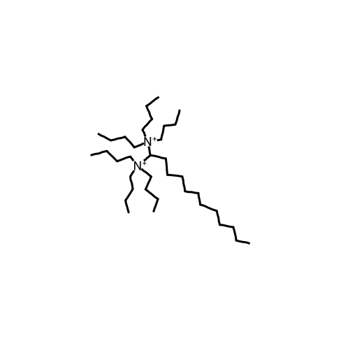 CCCCCCCCCCCC([N+](CCCC)(CCCC)CCCC)[N+](CCCC)(CCCC)CCCC